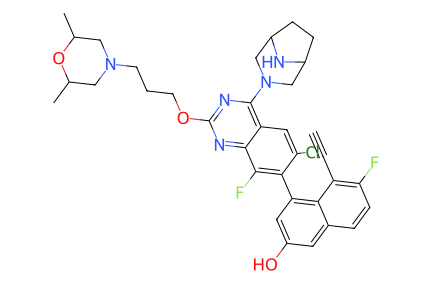 C#Cc1c(F)ccc2cc(O)cc(-c3c(Cl)cc4c(N5CC6CCC(C5)N6)nc(OCCCN5CC(C)OC(C)C5)nc4c3F)c12